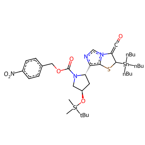 CCC[CH2][Sn]([CH2]CCC)([CH2]CCC)[CH]1Sc2c([C@@H]3C[C@@H](O[Si](C)(C)C(C)(C)C)CN3C(=O)OCc3ccc([N+](=O)[O-])cc3)ncn2C1=C=O